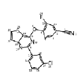 N#Cc1ccc(Oc2nc(-c3cccc(Cl)c3)nc3ccsc23)c(F)c1